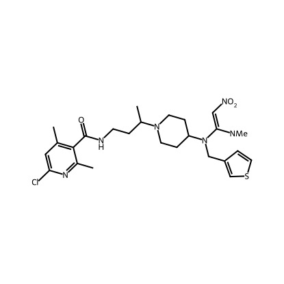 CNC(=C[N+](=O)[O-])N(Cc1ccsc1)C1CCN(C(C)CCNC(=O)c2c(C)cc(Cl)nc2C)CC1